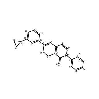 O=c1c2c(cnn1-c1ccccn1)C=C(c1cccc(C3CC3)c1)CC2